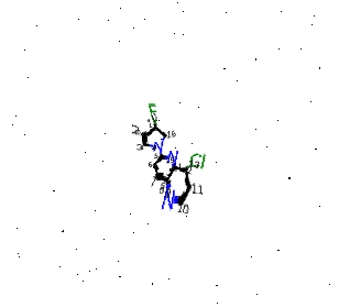 FC1CCN(c2ccc3nccc(Cl)c3n2)C1